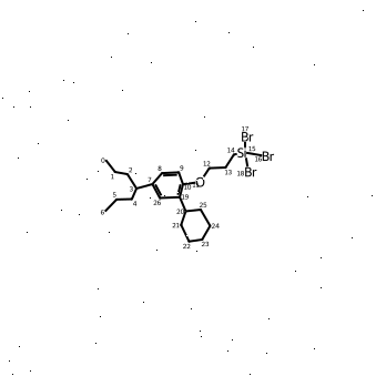 CCCC(CCC)c1ccc(OCCC[Si](Br)(Br)Br)c(C2CCCCC2)c1